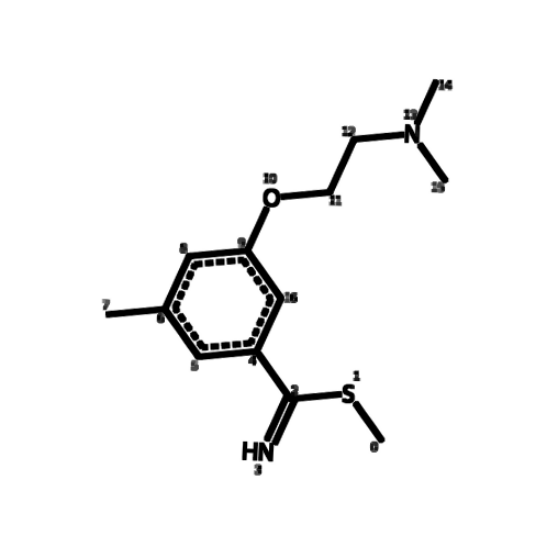 CSC(=N)c1cc(C)cc(OCCN(C)C)c1